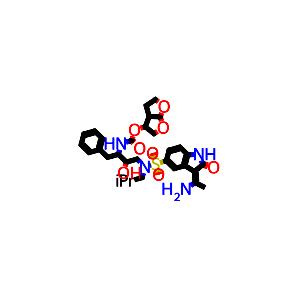 C/C(N)=C1\C(=O)Nc2ccc(S(=O)(=O)N(CC(C)C)CC(O)C(Cc3ccccc3)NC(=O)OC3COC4OCCC34)cc21